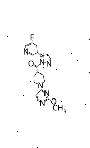 COc1nccc(N2CCC(C(=O)N3N=CC[C@H]3C3C=NC=C(F)C3)CC2)n1